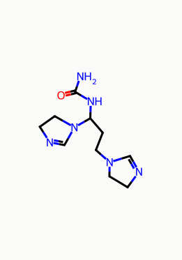 NC(=O)NC(CCN1C=NCC1)N1C=NCC1